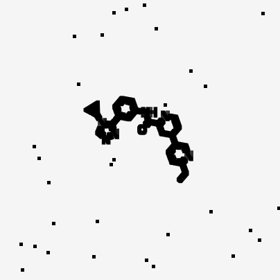 CCc1ccc(C2C=CN=C(C(=O)Nc3cccc(-c4nncn4C4CC4)c3)C2)cn1